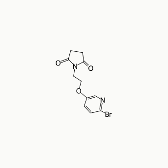 O=C1CCC(=O)N1CCOc1ccc(Br)nc1